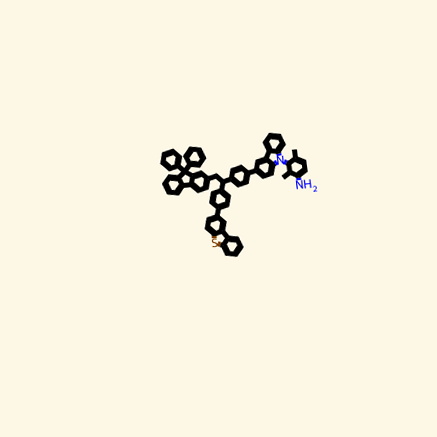 CC1=CC=C(N)C(C)C1n1c2ccccc2c2cc(-c3ccc(C(Cc4ccc5c(c4)C(c4ccccc4)(c4ccccc4)c4ccccc4-5)c4ccc(-c5ccc6sc7ccccc7c6c5)cc4)cc3)ccc21